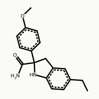 CCc1ccc2c(c1)CC(C(N)=O)(c1ccc(OC)cc1)N2